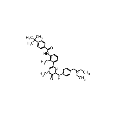 CCN(CC)Cc1ccc(Nc2nc(-c3cccc(NC(=O)c4ccc(C(C)(C)C)cc4)c3C)cn(C)c2=O)cc1